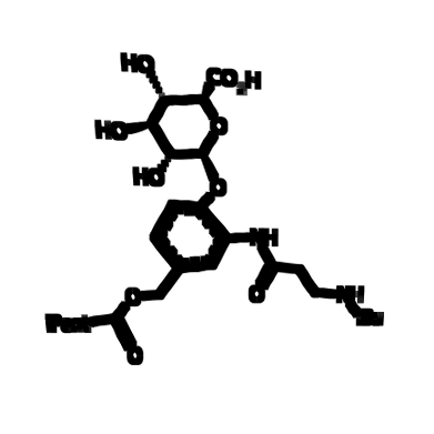 CCCC(C)C(=O)OCc1ccc(O[C@@H]2O[C@H](C(=O)O)[C@@H](O)[C@H](O)[C@H]2O)c(NC(=O)CCNC(C)CC)c1